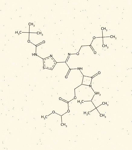 COC(C)OC(=O)OCC1C(NC(=O)C(=NOCC(=O)OC(C)(C)C)c2csc(NC(=O)OC(C)(C)C)n2)C(=O)N1[SiH2]C(C)C(C)(C)C